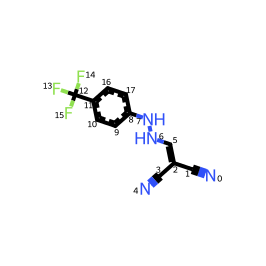 N#CC(C#N)=CNNc1ccc(C(F)(F)F)cc1